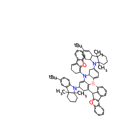 CC(C)(C)C1=CC2C(C=C1)N(C1=CC=C3B4C5=C(CC(N6c7ccc(C(C)(C)C)cc7C7(C)CCCCC67C)C=C5N(C5=c6oc7ccccc7c6=CCC5)C3C1)C1c3oc5ccccc5c3-c3cccc4c31)C1(C)CCCCC21C